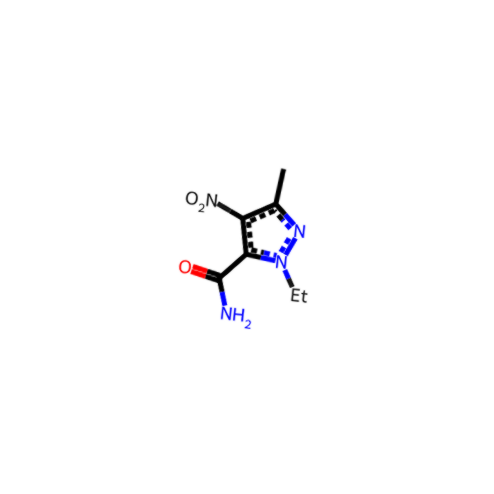 CCn1nc(C)c([N+](=O)[O-])c1C(N)=O